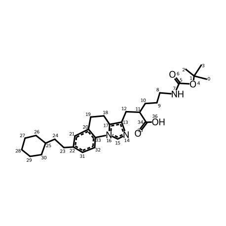 CC(C)(C)OC(=O)NCCCC(Cc1ncn2c1CCc1cc(CCC3CCCCC3)ccc1-2)C(=O)O